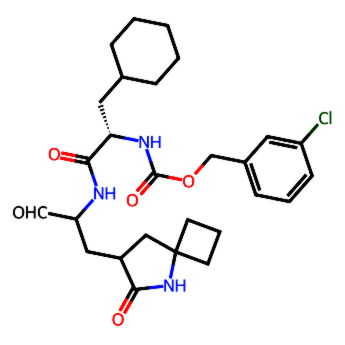 O=CC(CC1CC2(CCC2)NC1=O)NC(=O)[C@H](CC1CCCCC1)NC(=O)OCc1cccc(Cl)c1